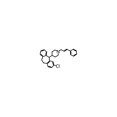 Clc1ccc2c(c1)C(C1CCN(CC=Cc3ccccc3)CC1)c1ccccc1CC2